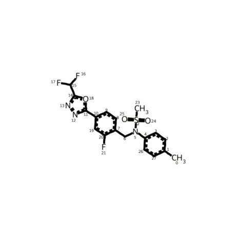 Cc1ccc(N(Cc2ccc(-c3nnc(C(F)F)o3)cc2F)S(C)(=O)=O)cc1